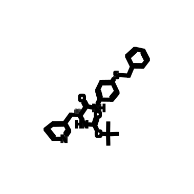 CC(C)(C)OC(=O)N[C@@H](Cc1cccnc1)C(=O)Nc1ccc(SCc2ccccc2)cc1